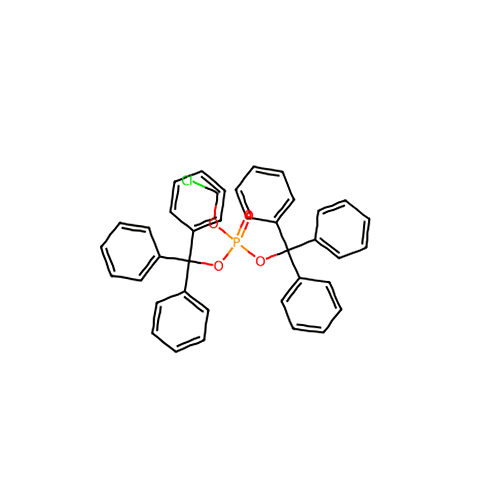 O=P(OCCl)(OC(c1ccccc1)(c1ccccc1)c1ccccc1)OC(c1ccccc1)(c1ccccc1)c1ccccc1